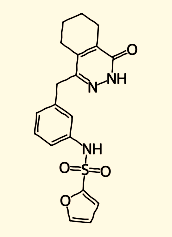 O=c1[nH]nc(Cc2cccc(NS(=O)(=O)c3ccco3)c2)c2c1CCCC2